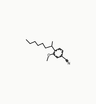 CCCCCCC(C)c1ccc(C#N)cc1OC